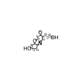 O=c1cc2oc3cc(O)ccc3nc-2cc1CCCO